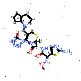 CO/N=C(\C(=O)N[C@@H]1C(=O)N2C(n3nn[nH]c3=O)=C(C[n+]3cccc4c3CCC4)CS[C@H]12)c1cnc(N)s1